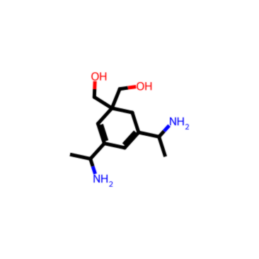 CC(N)C1=CC(CO)(CO)CC(C(C)N)=C1